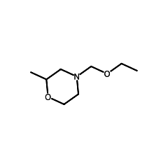 CCOCN1CCOC(C)C1